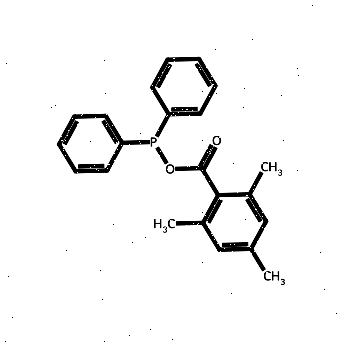 Cc1cc(C)c(C(=O)OP(c2ccccc2)c2ccccc2)c(C)c1